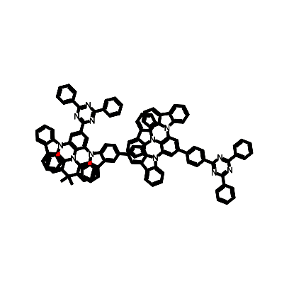 CC1(C)c2ccccc2N(c2c(-n3c4ccccc4c4ccccc43)cc(-c3nc(-c4ccccc4)nc(-c4ccccc4)n3)cc2-n2c3ccccc3c3cc(-c4ccc5c(c4)c4ccccc4n5-c4cc(-c5ccc(-c6nc(-c7ccccc7)nc(-c7ccccc7)n6)cc5)cc(-n5c6ccccc6c6ccccc65)c4-n4c5ccccc5c5ccccc54)ccc32)c2ccccc21